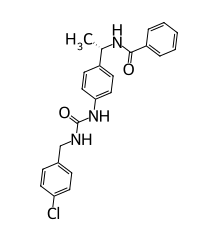 C[C@H](NC(=O)c1ccccc1)c1ccc(NC(=O)NCc2ccc(Cl)cc2)cc1